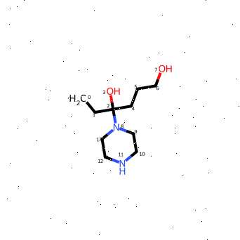 [CH2]CC(O)(CCCO)N1CCNCC1